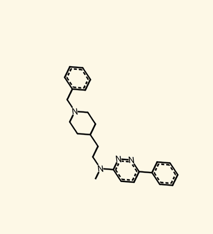 CN(CCC1CCN(Cc2ccccc2)CC1)c1ccc(-c2ccccc2)nn1